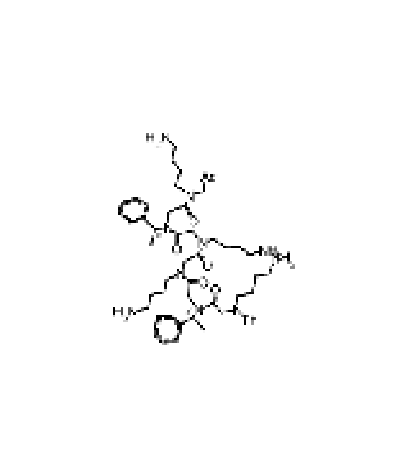 CCN(CCCCN)CC(=O)N(CC(=O)N(CCCCN)CC(=O)N(CCCCN)CC(=O)N(CC(=O)N(CCCCN)CC(C)=O)[C@@H](C)c1ccccc1)[C@@H](C)c1ccccc1